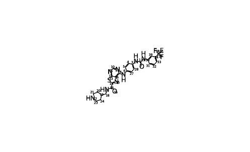 O=C(Nc1ccc(Nc2ncnc3sc(C(=O)NCC4CCNCC4)nc23)cc1)Nc1cccc(C(F)(F)F)c1